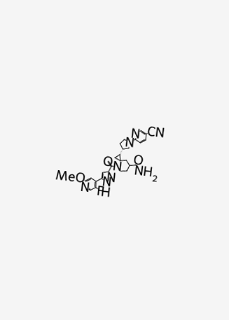 COc1cc(-c2cc(C(=O)N3CCC(C(N)=O)CC34CC4[C@@H]3CCN(c4ccc(C#N)cn4)C3)n[nH]2)c(F)cn1